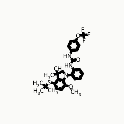 COc1ccc(SC(C)(C)C)c2c1N(c1ccccc1NC(=O)Nc1ccc(OC(F)(F)F)cc1)CC2(C)C